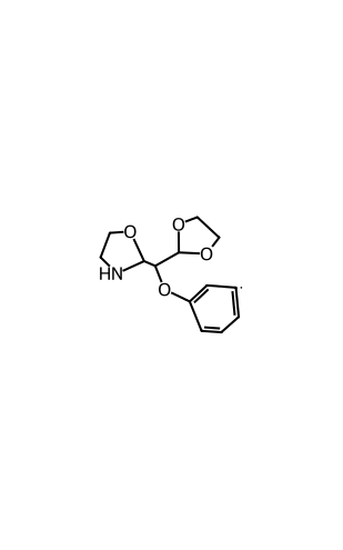 [c]1cccc(OC(C2NCCO2)C2OCCO2)c1